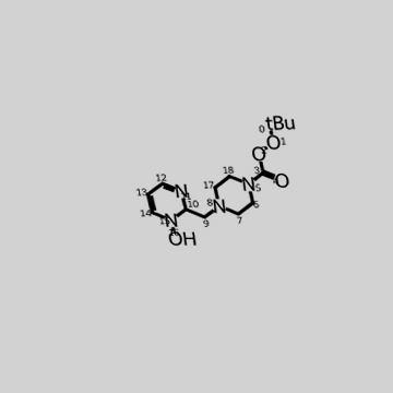 CC(C)(C)OOC(=O)N1CCN(CC2N=CC=CN2O)CC1